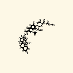 COc1c(N2CCN(C(=O)OC(C)OC(C)=O)C(C)C2)c(F)cc2c(=O)c(C(=O)OCC(=O)[C@]3(O)CC[C@@H]4[C@H]5CCC6=CC(=O)C=C[C@@]6(C)[C@@H]5[C@H](O)C[C@]43C)cn(C3CC3)c12